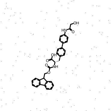 O=C(CO)Nc1ccc(-c2ccc(C[C@H](NC(=O)OCC3c4ccccc4-c4ccccc43)C(=O)O)cc2)cc1